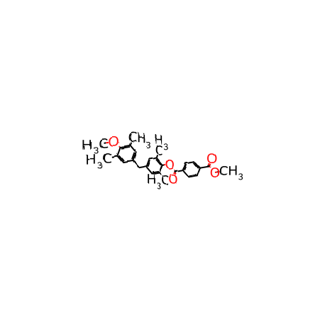 COC(=O)c1ccc(C(=O)Oc2c(C)cc(Cc3cc(C)c(OC)c(C)c3)cc2C)cc1